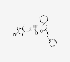 Cc1oc(=O)oc1COC(=O)NCC1(CC(=O)OCc2ccccc2)CCCCC1